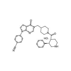 N#Cc1ccc(-n2ccc3c(=O)n(CC4CCN(C(=O)[C@@]5(O)CCNC[C@H]5c5ccccc5)CC4)cnc32)cc1